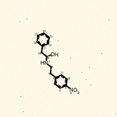 O=[N+]([O-])c1ccc(CCN[C@H](O)Cc2ccccc2)cc1